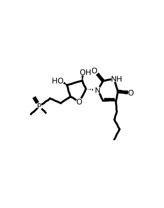 C=P(C)(C)CCC1O[C@@H](n2cc(CCCC)c(=O)[nH]c2=O)[C@H](O)[C@@H]1O